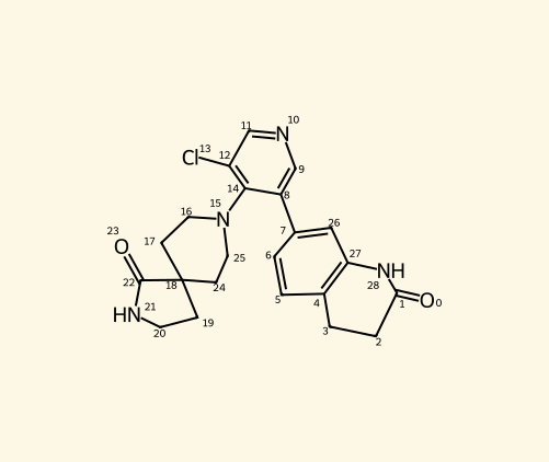 O=C1CCc2ccc(-c3cncc(Cl)c3N3CCC4(CCNC4=O)CC3)cc2N1